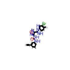 C#Cc1cccc(NC(=O)Nc2nonc2C(=N)Nc2ccc(C)c(Br)c2)c1